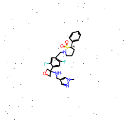 Cn1cc(CNC2(c3cc(F)c(CN4CCC[C@H](c5ccccc5)S4(=O)=O)cc3F)COC2)cn1